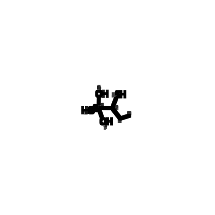 CCC(S)[Si](O)(O)O